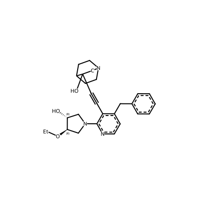 CCO[C@@H]1CN(c2nccc(Cc3ccccc3)c2C#CC2(O)CN3CCC2CC3)C[C@H]1O